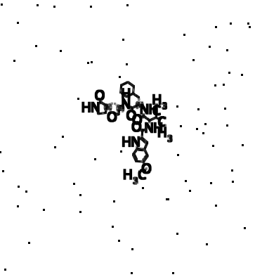 COc1ccc2[nH]c(C(=O)NC(C(=O)N[C@@H](CC3CCCCC3)C(=O)N[C@H](C=O)C[C@@H]3CCNC3=O)C(C)C)cc2c1